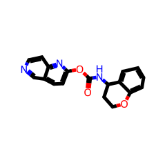 O=C(NC1CCOc2ccccc21)Oc1ccc2cnccc2n1